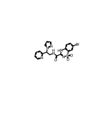 O=C(NCC(c1ccccn1)n1cccn1)C1=NS(=O)(=O)c2cc(Br)ccc2N1